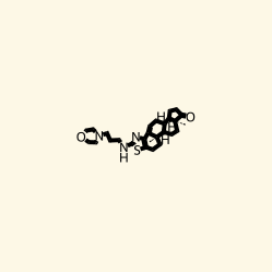 C[C@]12CCc3sc(NCCCN4CCOCC4)nc3C1=CC[C@@H]1[C@@H]2CC[C@]2(C)C(=O)CC[C@@H]12